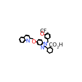 O=C(O)[C@H]1CCCCC1c1nc2cc(OCc3ccc4ccccc4n3)ccc2n1Cc1cccc(OC(F)(F)F)c1